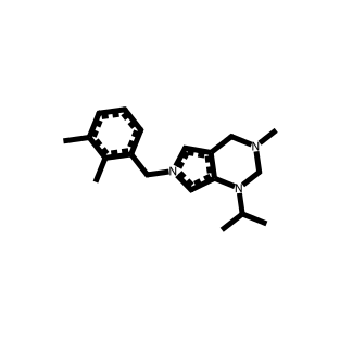 Cc1cccc(Cn2cc3c(c2)N(C(C)C)CN(C)C3)c1C